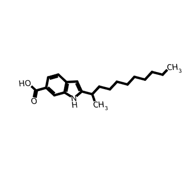 CCCCCCCCCC(C)c1cc2ccc(C(=O)O)cc2[nH]1